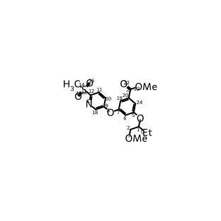 CCC(COC)Oc1cc(Oc2ccc(S(C)(=O)=O)nc2)cc(C(=O)OC)c1